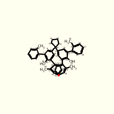 Cc1ccccc1-c1cc(C2(c3cc(-c4ccccc4C)c(O)c(-c4ccccc4C)c3)CCCC2)cc(-c2ccccc2C)c1O